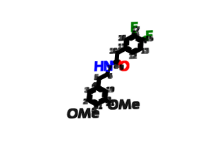 COc1ccc(CCNC(=O)Cc2ccc(F)c(F)c2)cc1OC